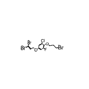 Fc1cc(OCC=C(Br)Br)cc(Cl)c1OCCCBr